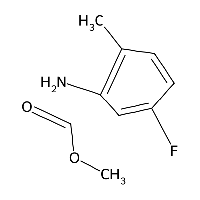 COC=O.Cc1ccc(F)cc1N